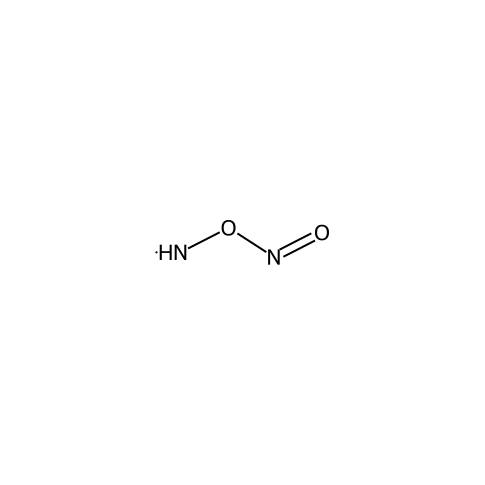 [NH]ON=O